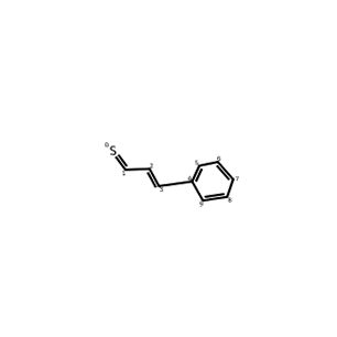 S=CC=Cc1ccccc1